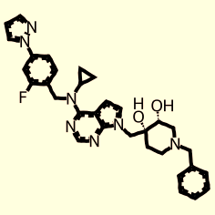 O[C@@H]1CN(Cc2ccccc2)CC[C@@]1(O)Cn1ccc2c(N(Cc3ccc(-n4cccn4)cc3F)C3CC3)ncnc21